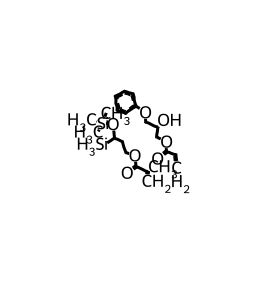 C=C(C)C(=O)OCCC([SiH3])O[Si](C)(C)C.C=CC(=O)OCC(O)COc1ccccc1